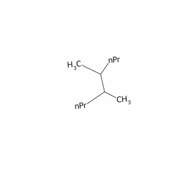 C[CH]CC(C)C(C)CCC